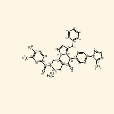 Cc1ncnn1-c1ccc(-n2c(=O)c3c(n4ncc(Cc5ccccc5)c24)CN(C(=O)c2ccc(Br)c(C(F)(F)F)c2)[C@@H](C)C3)cc1